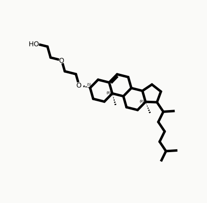 CC(C)CCCC(C)C1CCC2C3CC=C4C[C@@H](OCCOCCO)CC[C@]4(C)C3CC[C@]12C